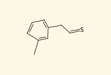 Cc1cccc(CC=S)c1